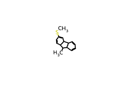 CSC1=CC2C(C=C1)C(C)C1C=CC=CC12